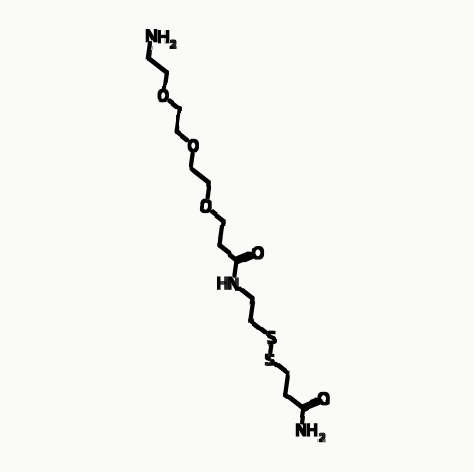 NCCOCCOCCOCCC(=O)NCCSSCCC(N)=O